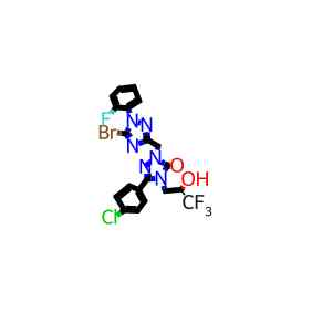 O=c1n(Cc2nc(Br)n(-c3ccccc3F)n2)nc(-c2ccc(Cl)cc2)n1C[C@H](O)C(F)(F)F